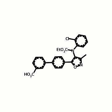 CCOC(=O)N(c1ccccc1Cl)c1c(C)noc1-c1ccc(-c2cccc(C(=O)O)c2)cc1